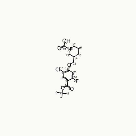 CC(C)(C)OC(=O)c1cc(Cl)c(OC[C@@H]2CCCN(C(=O)O)C2)cc1F